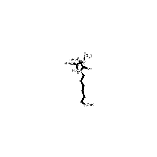 CCCCCCCCCCCCCCCCOC(=O)C(CCCCCC)(OS(=O)(=O)O)C(C)CCCCCCCCCC